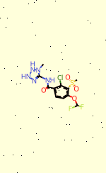 CN1NNN=C1NC(=O)c1ccc(OC(F)F)c(S(C)(=O)=O)c1Cl